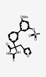 COc1cc(OS(C)(=O)=O)cc(-c2cccc(C3(Cc4ccoc4)NC(=S)NC3=O)c2)c1